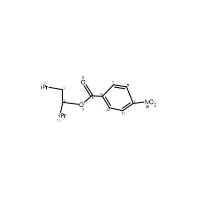 CC(C)CC(OC(=O)c1ccc([N+](=O)[O-])cc1)C(C)C